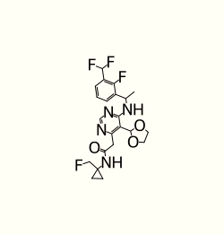 CC(Nc1ncnc(CC(=O)NC2(CF)CC2)c1C1OCCO1)c1cccc(C(F)F)c1F